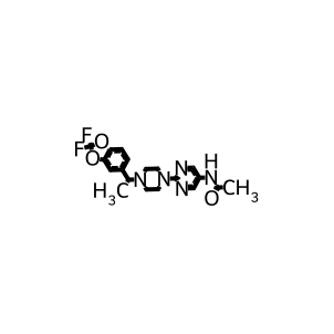 CC(=O)Nc1cnc(N2CCN(C(C)c3ccc4c(c3)OC(F)(F)O4)CC2)nc1